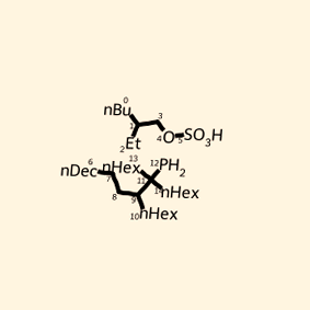 CCCCC(CC)COS(=O)(=O)O.CCCCCCCCCCCCC(CCCCCC)C(P)(CCCCCC)CCCCCC